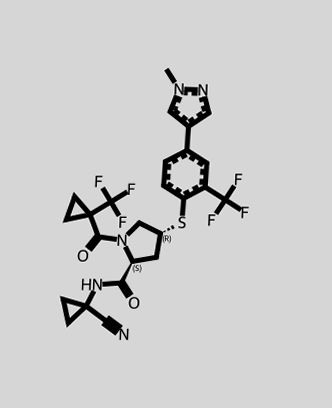 Cn1cc(-c2ccc(S[C@@H]3C[C@@H](C(=O)NC4(C#N)CC4)N(C(=O)C4(C(F)(F)F)CC4)C3)c(C(F)(F)F)c2)cn1